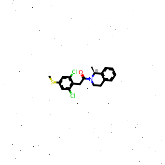 CSc1cc(Cl)c(CC(=O)N2CCc3ccccc3[C@@H]2C)c(Cl)c1